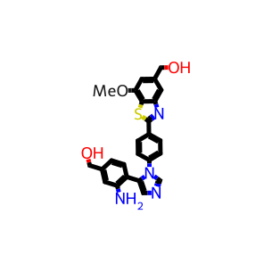 COc1cc(CO)cc2nc(-c3ccc(-n4cncc4-c4ccc(CO)cc4N)cc3)sc12